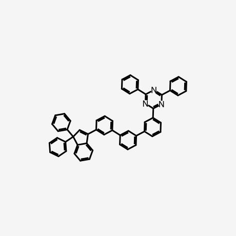 C1=C(c2cccc(-c3cccc(-c4cccc(-c5nc(-c6ccccc6)nc(-c6ccccc6)n5)c4)c3)c2)c2ccccc2C1(c1ccccc1)c1ccccc1